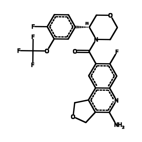 Nc1nc2cc(F)c(C(=O)N3CCOC[C@H]3c3ccc(F)c(OC(F)(F)F)c3)cc2c2c1COC2